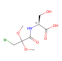 COC(CBr)(OC)C(=O)N[C@@H](CO)C(=O)O